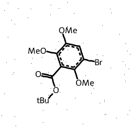 COc1cc(Br)c(OC)c(C(=O)OC(C)(C)C)c1OC